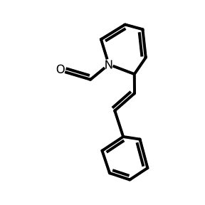 O=CN1C=CC=CC1C=Cc1ccccc1